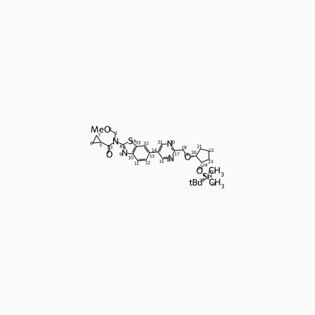 COCN(C(=O)C1CC1)c1nc2ccc(-c3cnc(CO[C@H]4CCC[C@@H]4O[Si](C)(C)C(C)(C)C)nc3)cc2s1